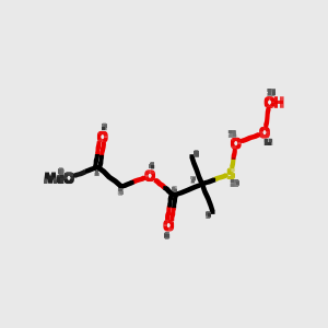 COC(=O)COC(=O)C(C)(C)SOOO